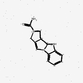 NC(=O)N1CC2=CN3c4ccccc4NC3C2C1